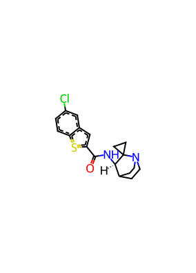 O=C(N[C@@H]1C2CCN(CC2)C12CC2)c1cc2cc(Cl)ccc2s1